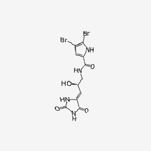 O=C1NC(=O)/C(=C/[C@@H](O)CNC(=O)c2cc(Br)c(Br)[nH]2)N1